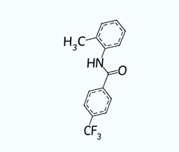 Cc1ccccc1NC(=O)c1ccc(C(F)(F)F)cc1